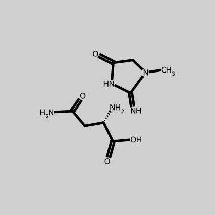 CN1CC(=O)NC1=N.NC(=O)C[C@H](N)C(=O)O